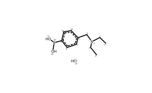 CCN(CC)Cc1ccc(B(O)O)cc1.Cl